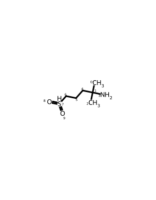 CC(C)(N)CCC[SH](=O)=O